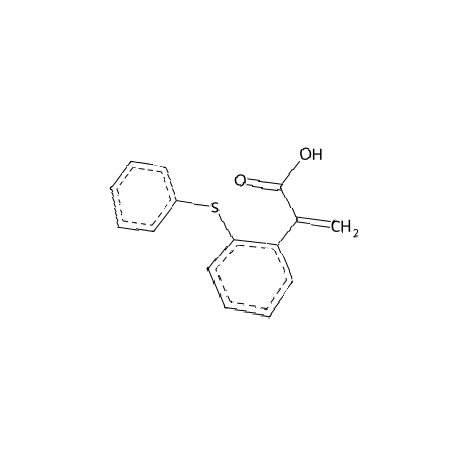 C=C(C(=O)O)c1ccccc1Sc1ccccc1